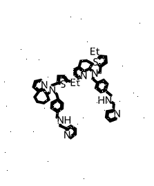 CCc1ccc(CN(Cc2ccc(CNCc3ccccn3)cc2)C2CCCCc3cccnc32)s1.CCc1ccc(CN(Cc2ccc(CNCc3ccccn3)cc2)C2CCCc3cccnc32)s1